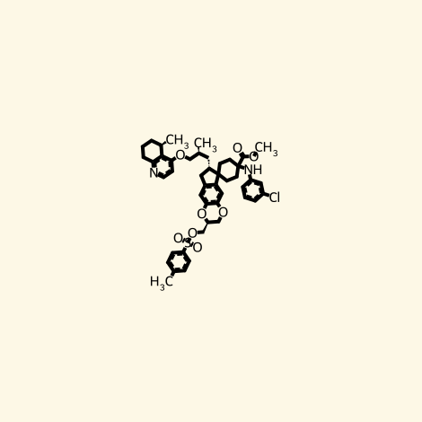 COC(=O)C1(Nc2cccc(Cl)c2)CCC2(CC1)c1cc3c(cc1C[C@@H]2C[C@@H](C)COc1ccnc2c1[C@H](C)CCC2)O[C@H](COS(=O)(=O)c1ccc(C)cc1)CO3